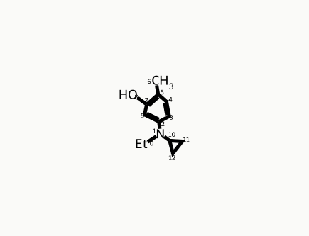 CCN(c1ccc(C)c(O)c1)C1CC1